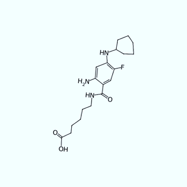 Nc1cc(NC2CCCCC2)c(F)cc1C(=O)NCCCCCC(=O)O